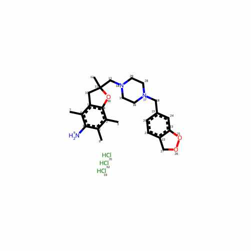 Cc1c(C)c2c(c(C)c1N)CC(C)(CN1CCN(Cc3ccc4c(c3)OOC4)CC1)O2.Cl.Cl.Cl